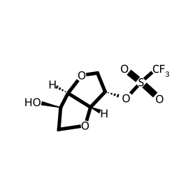 O=S(=O)(O[C@H]1CO[C@H]2[C@H]1OC[C@H]2O)C(F)(F)F